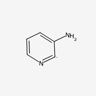 Nc1[c]nccc1